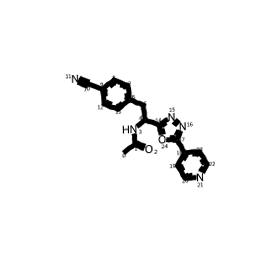 CC(=O)NC(Cc1ccc(C#N)cc1)c1nnc(-c2ccncc2)o1